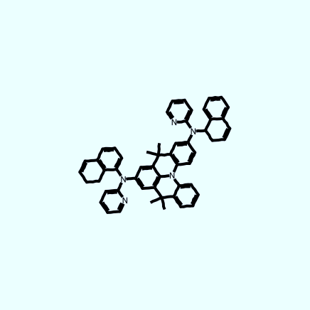 CC1(C)c2ccccc2N2c3ccc(N(c4ccccn4)C4CC=Cc5ccccc54)cc3C(C)(C)c3cc(N(c4ccccn4)c4cccc5c4CCC=C5)cc1c32